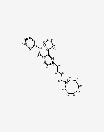 c1ccc(COc2ccc(CCCCN3CCCCCCC3)nc2C2OCCO2)cc1